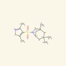 CC1=NCC(C)=C1S(=O)(=O)N1CC2(C)CC1CC(C)(C)C2